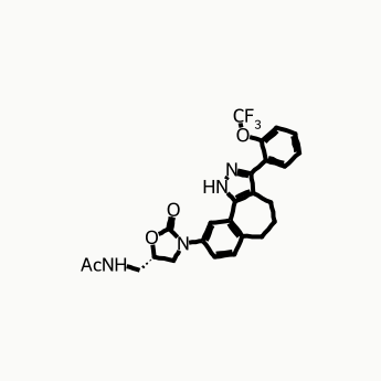 CC(=O)NC[C@H]1CN(c2ccc3c(c2)-c2[nH]nc(-c4ccccc4OC(F)(F)F)c2CCC3)C(=O)O1